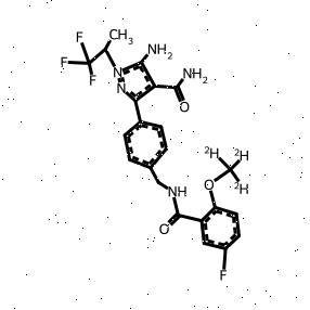 [2H]C([2H])([2H])Oc1ccc(F)cc1C(=O)NCc1ccc(-c2nn(C(C)C(F)(F)F)c(N)c2C(N)=O)cc1